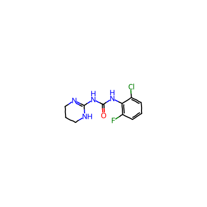 O=C(NC1=NCCCN1)Nc1c(F)cccc1Cl